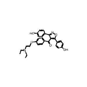 CCN(CC)CCOc1ccc(C(=O)c2c(-c3ccc(O)cc3)noc2-c2ccc(O)cc2)cc1